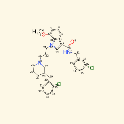 COc1cccc2c(C(=O)NCc3cccc(Cl)c3)cn(CCCN3CCCC(Cc4ccccc4Cl)C3)c12